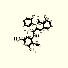 Cc1ccccc1-n1c([C@H](C)Nc2nc(N)nc(N)c2C#N)cc2cccc(Cl)c2c1=O